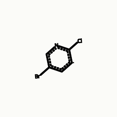 Clc1[c]cc(Br)cn1